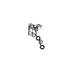 CCOC(CCO[Si](C(C)C)(C(C)C)C(C)C)c1ccc(OCc2ccccc2)cc1